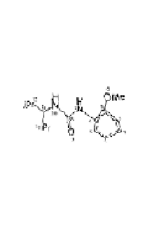 COc1ccccc1NC(=O)NC(C(C)C)C(C)C